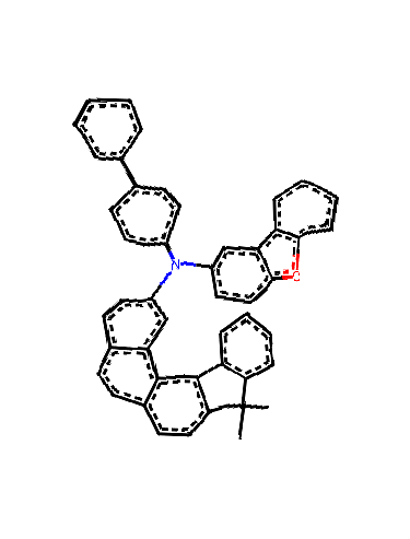 CC1(C)c2ccccc2-c2c1ccc1ccc3ccc(N(c4ccc(-c5ccccc5)cc4)c4ccc5oc6ccccc6c5c4)cc3c21